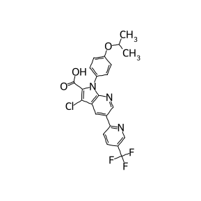 CC(C)Oc1ccc(-n2c(C(=O)O)c(Cl)c3cc(-c4ccc(C(F)(F)F)cn4)cnc32)cc1